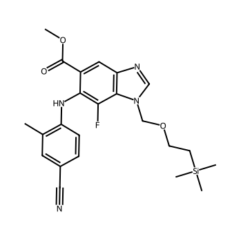 COC(=O)c1cc2ncn(COCC[Si](C)(C)C)c2c(F)c1Nc1ccc(C#N)cc1C